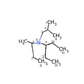 CCC(C)N(CC(C)C)C(CC)CC